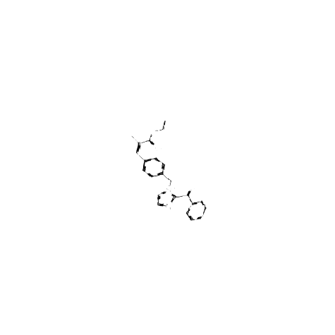 CCOC(=O)C(C)=Cc1ccc(C[n+]2cc[nH]c2C(=O)c2ccccc2)cc1.[I-]